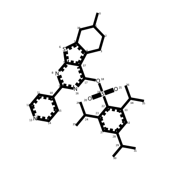 CC1CCc2c(sc3nc(-c4ccncc4)nc(OS(=O)(=O)c4c(C(C)C)cc(C(C)C)cc4C(C)C)c23)C1